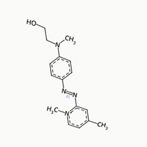 Cc1cc[n+](C)c(/N=N/c2ccc(N(C)CCO)cc2)c1